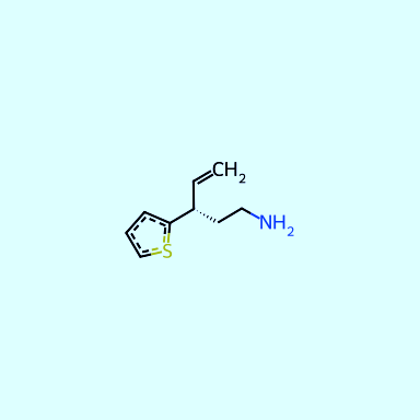 C=C[C@H](CCN)c1cccs1